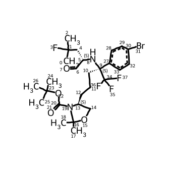 CC(C)(F)C[C@@H](C=O)N[C@@](CCC[C@H]1COC(C)(C)N1C(=O)OC(C)(C)C)(c1ccc(Br)cc1)C(F)(F)F